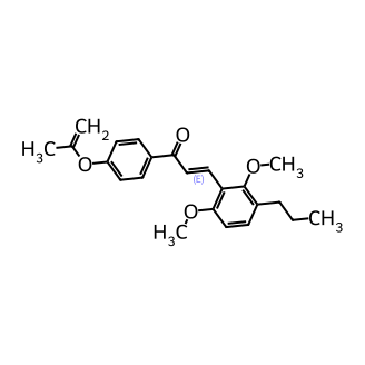 C=C(C)Oc1ccc(C(=O)/C=C/c2c(OC)ccc(CCC)c2OC)cc1